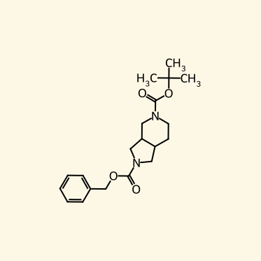 CC(C)(C)OC(=O)N1CCC2CN(C(=O)OCc3ccccc3)CC2C1